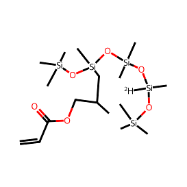 [2H][Si](C)(O[Si](C)(C)C)O[Si](C)(C)O[Si](C)(CC(C)COC(=O)C=C)O[Si](C)(C)C